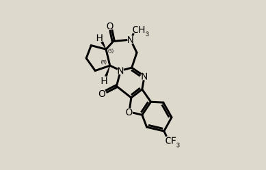 CN1Cc2nc3c(oc4cc(C(F)(F)F)ccc43)c(=O)n2[C@@H]2CCC[C@@H]2C1=O